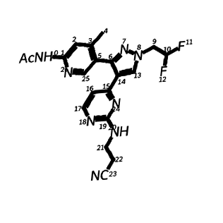 CC(=O)Nc1cc(C)c(-c2nn(CC(F)F)cc2-c2ccnc(NCCC#N)n2)cn1